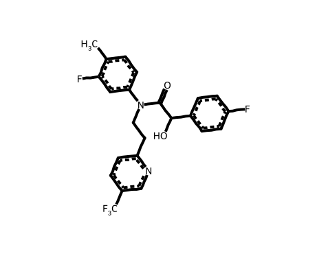 Cc1ccc(N(CCc2ccc(C(F)(F)F)cn2)C(=O)C(O)c2ccc(F)cc2)cc1F